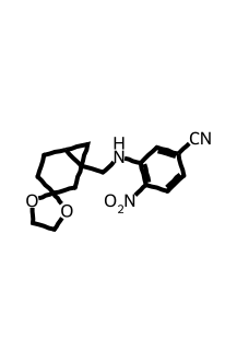 N#Cc1ccc([N+](=O)[O-])c(NCC23CC2CCC2(C3)OCCO2)c1